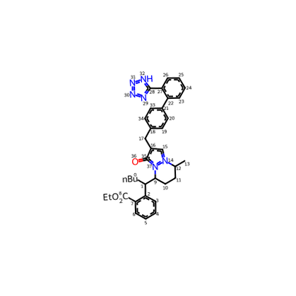 CCCCC(c1ccccc1C(=O)OCC)C1CCC(C)n2cc(Cc3ccc(-c4ccccc4-c4nnn[nH]4)cc3)c(=O)n21